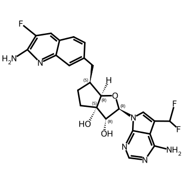 Nc1nc2cc(C[C@@H]3CC[C@@]4(O)[C@@H]3O[C@@H](n3cc(C(F)F)c5c(N)ncnc53)[C@@H]4O)ccc2cc1F